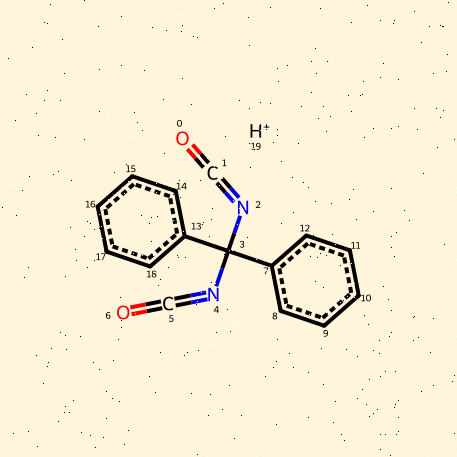 O=C=NC(N=C=O)(c1ccccc1)c1ccccc1.[H+]